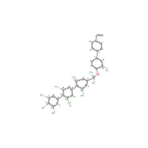 CCCCCCc1ccc(-c2ccc(OC(F)(F)c3cc(F)c(-c4cc(F)c(-c5cc(F)c(F)c(F)c5)c(Cl)c4)c(F)c3)c(F)c2)cc1